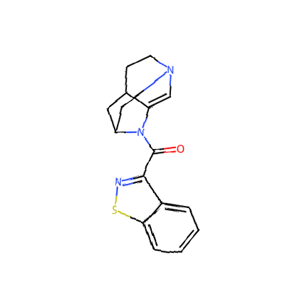 O=C(c1nsc2ccccc12)N1C2=CN3CCC2CC1C3